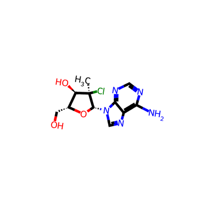 C[C@@]1(Cl)[C@H](O)[C@@H](CO)O[C@H]1n1cnc2c(N)ncnc21